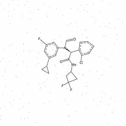 O=CN(c1cc(F)cc(C2CC2)c1)[C@H](C(=O)NC1CC(F)(F)C1)c1ccccc1Cl